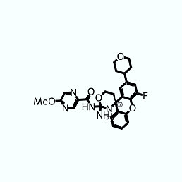 COc1cnc(C(=O)NC2(N)N[C@@]3(CCO2)c2ccccc2Oc2c(F)cc(C4CCOCC4)cc23)cn1